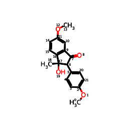 COc1ccc(C2C(=O)c3cc(OC)ccc3C2(C)O)cc1